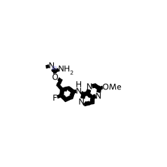 C/N=C(/N)OCCc1cc(Nc2nccc3nc(OC)cnc23)ccc1F